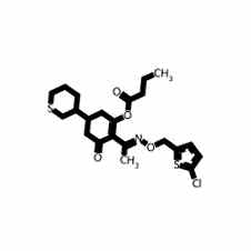 CCCC(=O)OC1=C(C(C)=NOCc2ccc(Cl)s2)C(=O)CC(C2CCCSC2)C1